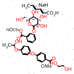 C/C=C/C=C/C(=O)O.CC(O)Oc1ccccc1.CCCCCCCCOC(=O)c1ccccc1.COC(=O)c1ccc(O)cc1.O=C1O[C@H](CO)[C@@H](O)[C@H](O)[C@H]1O.OCCO.[NaH]